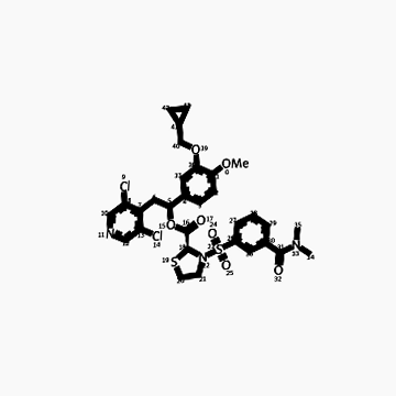 COc1ccc(C(Cc2c(Cl)cncc2Cl)OC(=O)[C@@H]2SCCN2S(=O)(=O)c2cccc(C(=O)N(C)C)c2)cc1OCC1CC1